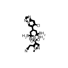 BC1(B)CC(c2cn3ncnc3cc2Cl)CC(B)(B)N1S(=O)(=O)c1cnn(C)c1CC#N